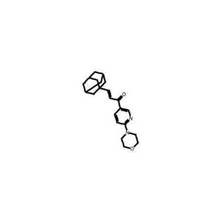 O=C(/C=C/C12CC3CC(CC(C3)C1)C2)c1ccc(N2CCOCC2)nc1